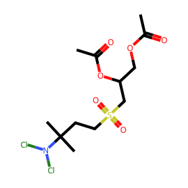 CC(=O)OCC(CS(=O)(=O)CCC(C)(C)N(Cl)Cl)OC(C)=O